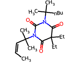 C/C=C\C(C)(C)N1C(=O)N(C(C)(C)CCCC)C(=O)C(CC)(CC)C1=O